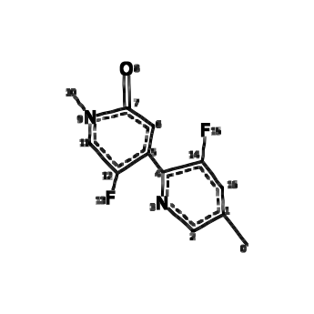 Cc1cnc(-c2cc(=O)n(C)cc2F)c(F)c1